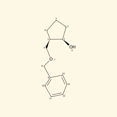 O[C@@H]1CCC[C@@H]1COCc1ccccc1